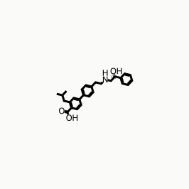 CC(C)Cc1cc(-c2ccc(CCNC[C@H](O)c3ccccc3)cc2)ccc1C(=O)O